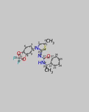 Cc1cn(-c2ccc3c(c2)OC(F)(F)O3)/c(=N/C(=O)N[C@H](C)c2ccccc2)s1